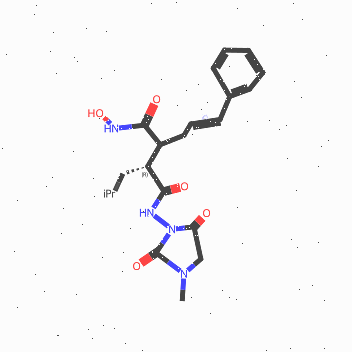 CC(C)C[C@@H](C(=O)NN1C(=O)CN(C)C1=O)C(C/C=C/c1ccccc1)C(=O)NO